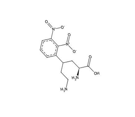 NCCC(C[C@H](N)C(=O)O)c1cccc([N+](=O)[O-])c1[N+](=O)[O-]